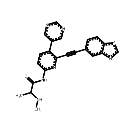 CNC(C)C(=O)Nc1ccc(-c2cncnc2)c(C#Cc2ccc3scnc3c2)n1